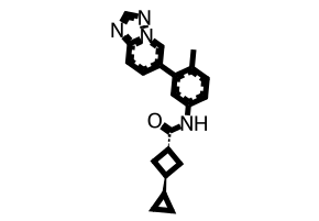 Cc1ccc(NC(=O)[C@H]2C[C@H](C3CC3)C2)cc1-c1ccc2ncnn2c1